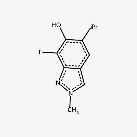 CC(C)c1cc2cn(C)nc2c(F)c1O